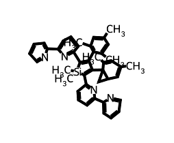 CC1=CC2CC2(C2=C(c3cccc(-c4ccccn4)n3)[Si](C)(C)C(c3cccc(-c4ccccn4)n3)=C2c2c(C)cc(C)cc2C)C(C)=C1